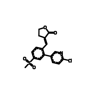 CS(=O)(=O)c1ccc(/C=C2\CCOC2=O)c(-c2ccc(Cl)nc2)c1